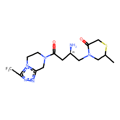 CC1CN(C[C@H](N)CC(=O)N2CCn3c(nnc3C(F)(F)F)C2)C(=O)CS1